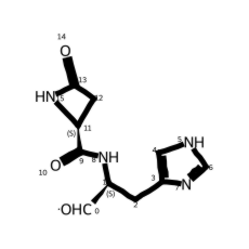 O=[C][C@H](Cc1c[nH]cn1)NC(=O)[C@@H]1CC(=O)N1